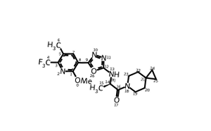 COc1nc(C(F)(F)F)c(C)cc1-c1nnc(N[C@H](C)C(=O)N2CCC3(CC2)CC3)o1